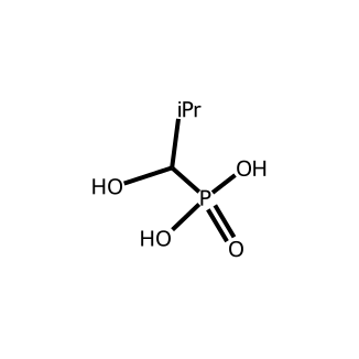 CC(C)C(O)P(=O)(O)O